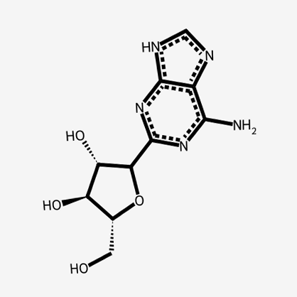 Nc1nc(C2O[C@H](CO)[C@@H](O)[C@@H]2O)nc2[nH]cnc12